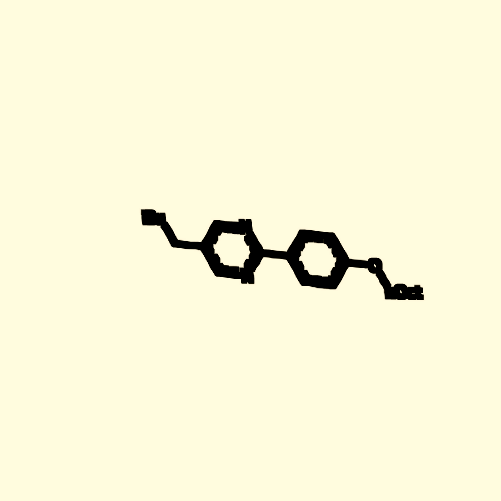 CCCCCCCCOc1ccc(-c2ncc(CC(C)CC)cn2)cc1